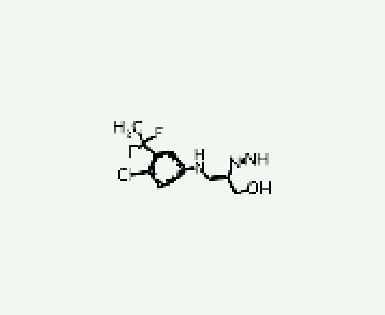 CC(F)(F)c1cc(N/C=C(/CO)N=N)ccc1Cl